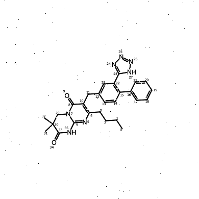 CCCCc1nc2n(c(=O)c1Cc1ccc(-c3ccccc3)c(-c3nnn[nH]3)c1)CC(C)(C)C(=O)N2